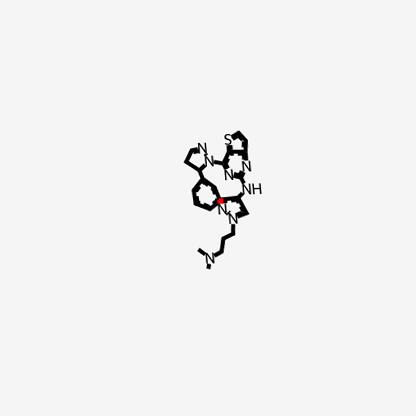 CN(C)CCCn1cc(Nc2nc(N3N=CCC3c3ccccc3)c3sccc3n2)cn1